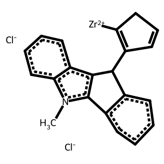 Cn1c2c(c3ccccc31)C(C1=[C]([Zr+2])CC=C1)c1ccccc1-2.[Cl-].[Cl-]